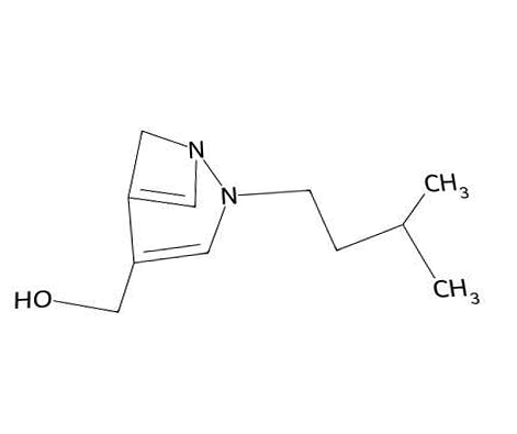 CC(C)CCN1C=C(CO)C2=CN1C2